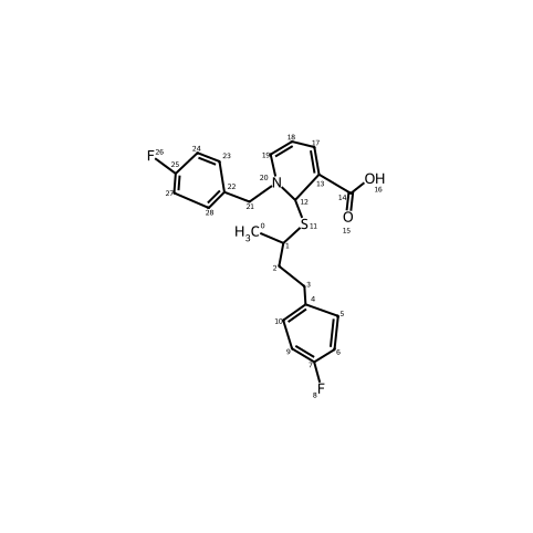 CC(CCc1ccc(F)cc1)SC1C(C(=O)O)=CC=CN1Cc1ccc(F)cc1